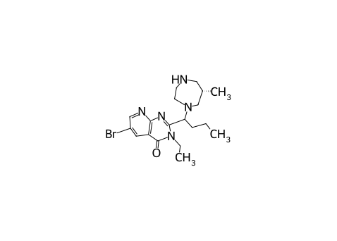 CCCC(c1nc2ncc(Br)cc2c(=O)n1CC)N1CCNC[C@H](C)C1